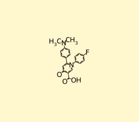 CN(C)c1ccc(-c2cc(=O)c(C(=O)O)cn2-c2ccc(F)cc2)cc1